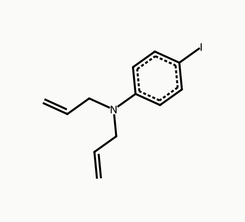 C=CCN(CC=C)c1ccc(I)cc1